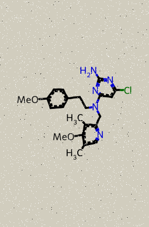 COc1ccc(CCN(Cc2ncc(C)c(OC)c2C)c2cc(Cl)nc(N)n2)cc1